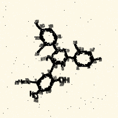 CCCCCCc1cc(-c2nc(-c3ccc(C)cc3C)nc(-c3ccc(C)cc3C)n2)c(O)cc1O